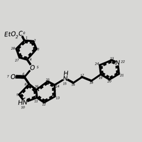 CCOC(=O)c1ccc(OC(=O)c2c[nH]c3ccc(NCCCc4ccncc4)cc23)cc1